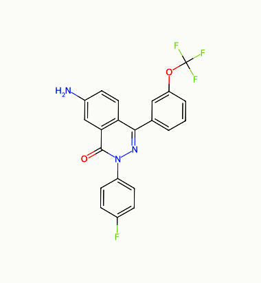 Nc1ccc2c(-c3cccc(OC(F)(F)F)c3)nn(-c3ccc(F)cc3)c(=O)c2c1